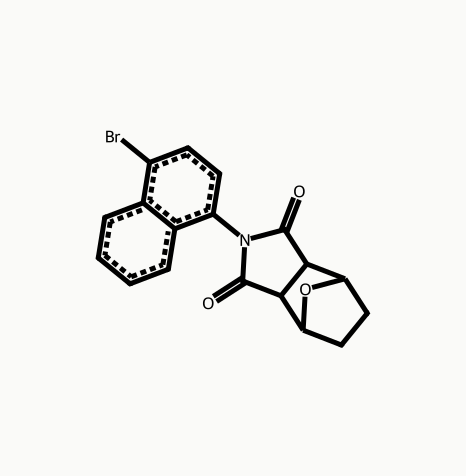 O=C1C2C3CCC(O3)C2C(=O)N1c1ccc(Br)c2ccccc12